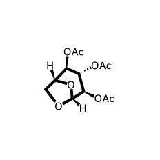 CC(=O)O[C@@H]1[C@@H](OC(C)=O)[C@@H]2OC[C@@H](O2)[C@H]1OC(C)=O